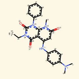 CN(C)c1ccc(Nc2cc(=O)n(C)c3c2c(=O)n(CC(F)(F)F)c(=O)n3-c2ccccc2)cc1